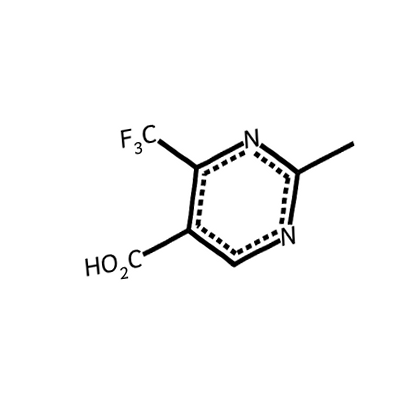 Cc1ncc(C(=O)O)c(C(F)(F)F)n1